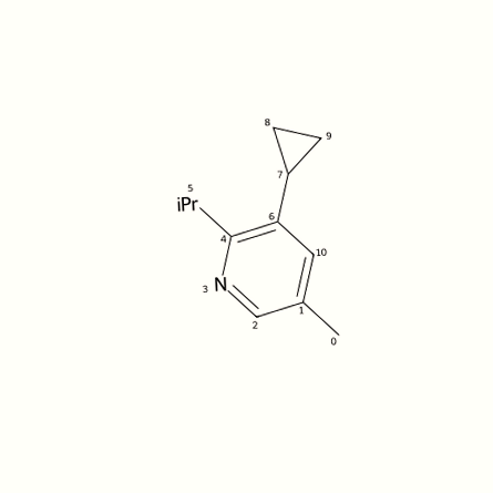 Cc1cnc(C(C)C)c(C2CC2)c1